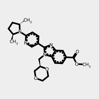 COC(=O)c1ccc2c(c1)nc(-c1ccc(N3[C@@H](C)CC[C@@H]3C)nc1)n2C[C@@H]1COCCO1